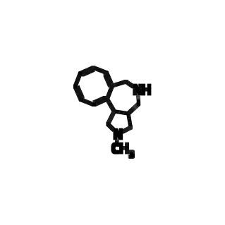 CN1CC2CNCC3=C/C=C\C=C/C=C\3C2C1